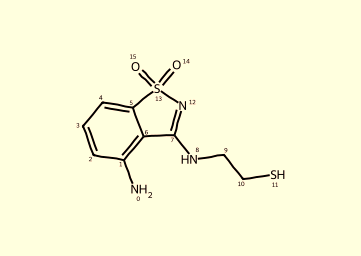 Nc1cccc2c1C(NCCS)=NS2(=O)=O